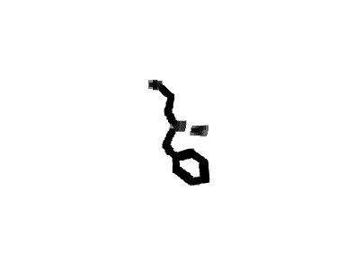 Cl.SCCNCc1ccccc1